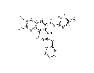 O=C(Cc1ccccc1)Nn1c(SCc2ccc(Cl)cc2)nc2cc(F)c(F)cc2c1=O